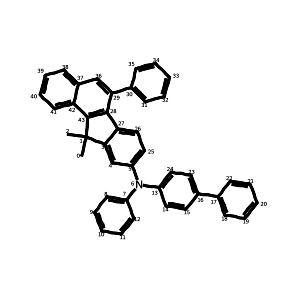 CC1(C)c2cc(N(c3ccccc3)c3ccc(-c4ccccc4)cc3)ccc2-c2c(-c3ccccc3)cc3ccccc3c21